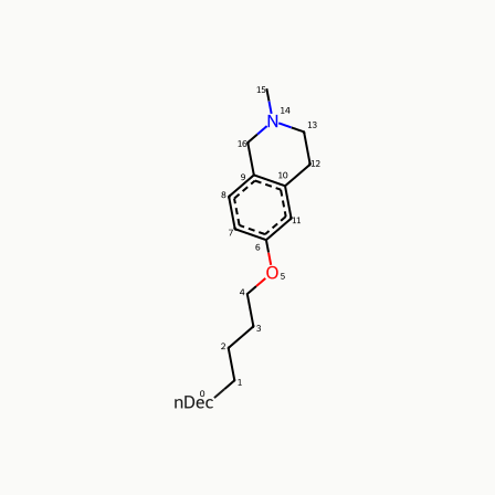 CCCCCCCCCCCCCCOc1ccc2c(c1)CCN(C)C2